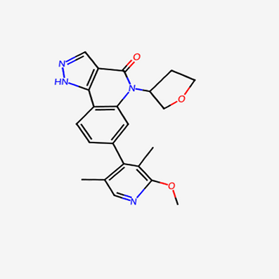 COc1ncc(C)c(-c2ccc3c4[nH]ncc4c(=O)n(C4CCOC4)c3c2)c1C